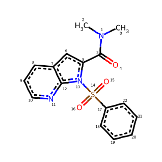 CN(C)C(=O)c1cc2cccnc2n1S(=O)(=O)c1ccccc1